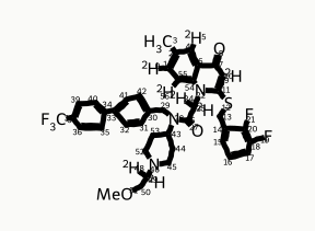 [2H]c1c(C)c([2H])c2c(=O)c([2H])c(SCc3cccc(F)c3F)n(C([2H])([2H])C(=O)N(Cc3ccc(-c4ccc(C(F)(F)F)cc4)cc3)C3CCN(C([2H])([2H])COC)CC3)c2c1[2H]